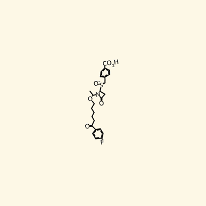 CC(OCCCCCC(=O)c1ccc(F)cc1)N1C(=O)CC1[S+]([O-])Cc1ccc(C(=O)O)cc1